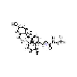 CC1(c2ccc(/C=C/C(=O)NCC(F)F)cc2)c2ccc(O)cc2CCN1c1ccc(F)cc1